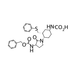 O=C(O)NC1CC[C@H](N2CCC(NC(=O)OCc3ccccc3)C2=O)[C@H](CSc2ccccc2)C1